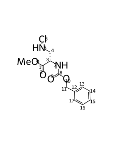 COC(=O)[C@H](CNCl)NC(=O)OCc1ccccc1